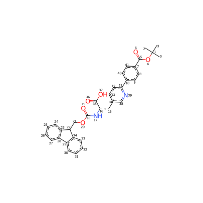 CC(C)(C)OC(=O)c1ccc(-c2ccc(C[C@H](NC(=O)OCC3c4ccccc4-c4ccccc43)C(=O)O)cn2)cc1